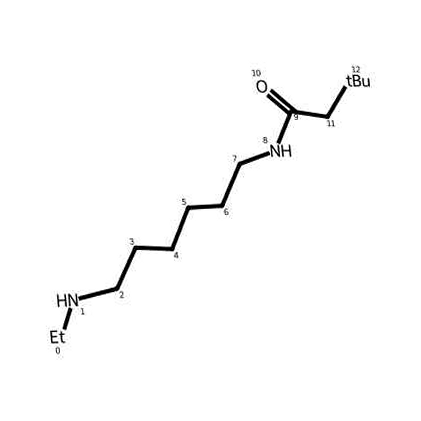 CCNCCCCCCNC(=O)CC(C)(C)C